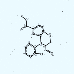 COC(=O)c1ccc2c(c1)N(c1ccccc1Cl)C(C=O)CO2